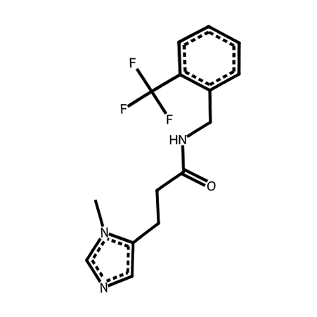 Cn1cncc1CCC(=O)NCc1ccccc1C(F)(F)F